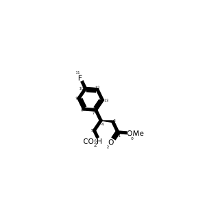 COC(=O)C[C@@H](CC(=O)O)c1ccc(F)cc1